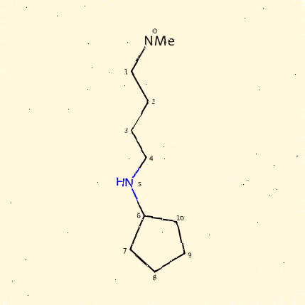 CNCCCCNC1CCCC1